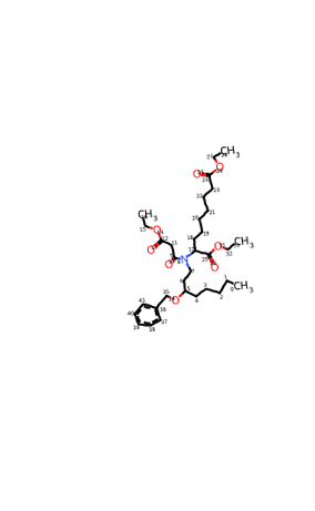 CCCCCC(CCN(C(=O)CC(=O)OCC)C(CCCCCCC(=O)OCC)C(=O)OCC)OCc1ccccc1